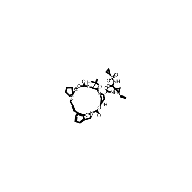 C=C[C@@H]1C[C@]1(NC(=O)[C@@H]1C[C@@H]2CN1C(=O)[C@H](C(C)(C)C)NC(=O)OCC1(CC/C=C/c3cccc4c3CN(C4)C(=O)O2)CCCC1)C(=O)NS(=O)(=O)C1CC1